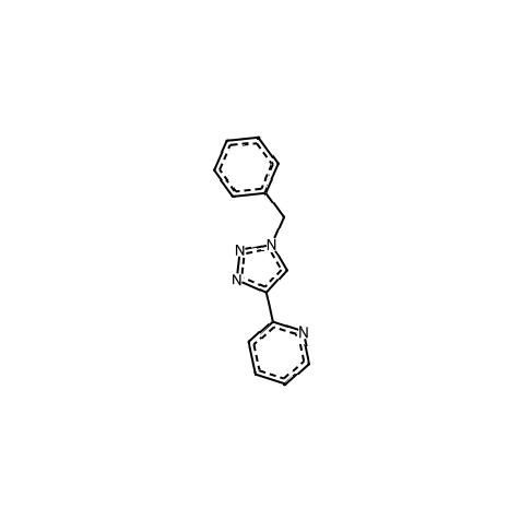 c1ccc(Cn2cc(-c3ccccn3)nn2)cc1